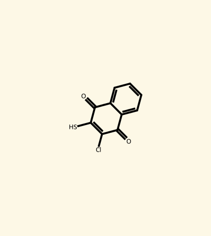 O=C1C(S)=C(Cl)C(=O)c2ccccc21